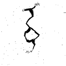 [NH]C(=O)CCc1ccc(CN)cc1